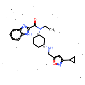 CCN(C(=O)c1nc2ccccc2[nH]1)[C@H]1CCC[C@@H](NCc2cc(C3CC3)no2)C1